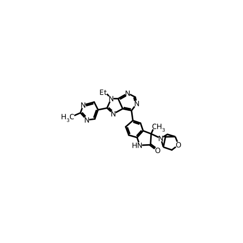 CCn1c(-c2cnc(C)nc2)nc2c(-c3ccc4c(c3)C(C)(N3CC5CC3CO5)C(=O)N4)ncnc21